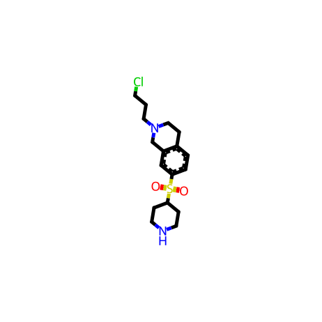 O=S(=O)(c1ccc2c(c1)CN(CCCCl)CC2)C1CCNCC1